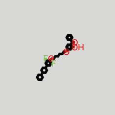 O=C(c1ccccc1)c1ccc(OCCCCCCOc2c(F)cc(C3CCC(C4CCCCC4)CC3)cc2F)cc1O